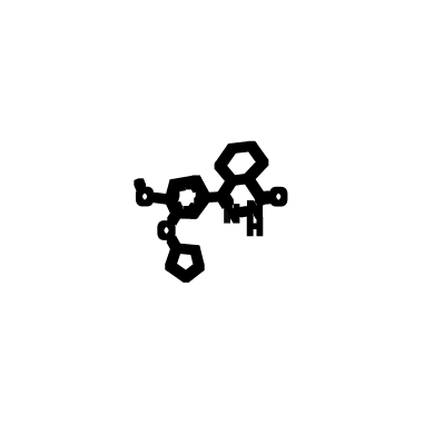 COc1ccc(C2=NNC(=O)C3CCCCC23)cc1OC1CCCC1